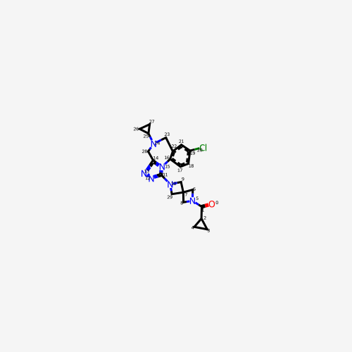 O=C(C1CC1)N1CC2(C1)CN(c1nnc3n1-c1ccc(Cl)cc1CN(C1CC1)C3)C2